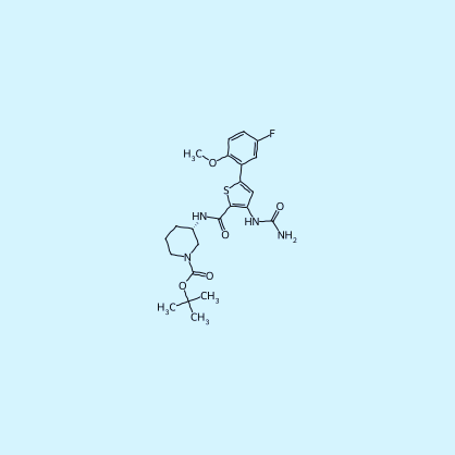 COc1ccc(F)cc1-c1cc(NC(N)=O)c(C(=O)N[C@H]2CCCN(C(=O)OC(C)(C)C)C2)s1